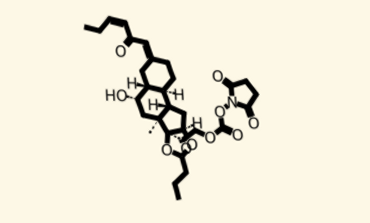 CC/C=C\C(=O)/C=C1/CC[C@@H]2[C@@H](C1)[C@@H](O)C[C@@]1(C)[C@H]2C[C@H]2OC(CCC)O[C@]21C(=O)COC(=O)ON1C(=O)CCC1=O